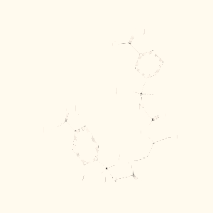 C=C(C)c1ccc(C(C)(C)NC(=O)OCC(CC)OC(=O)NC(C)(C)c2cccc(C(=C)C)c2)cc1